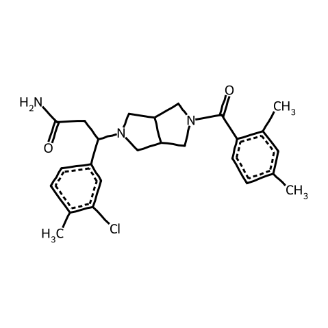 Cc1ccc(C(=O)N2CC3CN(C(CC(N)=O)c4ccc(C)c(Cl)c4)CC3C2)c(C)c1